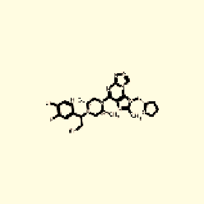 Cc1nc2c(N3C[C@@H](C)N(C(CC(C)C)c4ccc(Cl)c(F)c4)C[C@@H]3C)nc3nncn3c2n1C[C@@H]1CCCO1